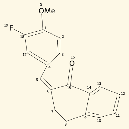 COc1ccc(C=C2CCc3ccccc3C2=O)cc1F